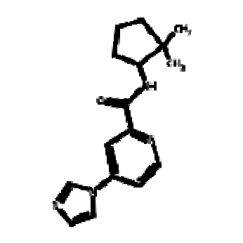 CC1(C)CCCC1NC(=O)c1cc(-n2ccnc2)ccn1